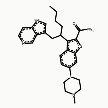 CCCCC(Cc1c[nH]c2ccncc12)c1c(C(N)=O)sc2cc(N3CCN(C)CC3)ccc12